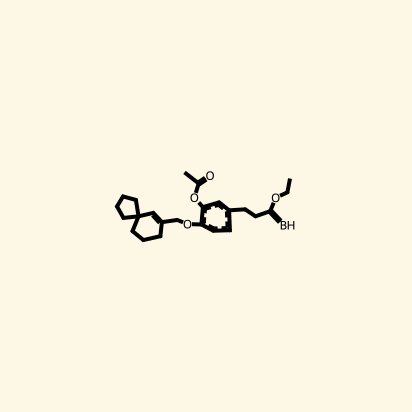 B=C(CCc1ccc(OCC2=CC3(CCCC3)CCC2)c(OC(C)=O)c1)OCC